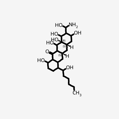 CCCCCC(O)C1CCC(O)C2C(=O)C3C(O)[C@]4(O)C(O)C(C(N)O)C(O)C[C@@H]4C[C@@H]3CC12